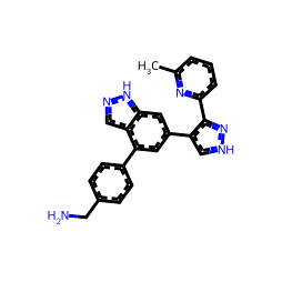 Cc1cccc(-c2n[nH]cc2-c2cc(-c3ccc(CN)cc3)c3cn[nH]c3c2)n1